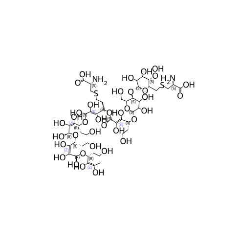 C/C(O)=C(/O)[C@@H](CCO)O[C@@H](O)/C(O)=C(/O)[C@@H](CCO)O[C@@H](O)/C(O)=C(/O)[C@@H](CCO)O[C@H](O)/C(O)=C(\O)[C@@H](CCSC[C@@H](N)C(=O)O)O[C@H](O)/C(O)=C(\O)[C@@H](CCO)O[C@@H]1OC(CO)[C@@H](O[C@H]2OC(CSC[C@@H](N)C(=O)O)[C@@H](OO)C(O)C2O)C(O)C1O